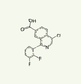 O=C(O)c1ccc2c(Cl)cnc(-c3cccc(F)c3F)c2c1